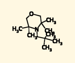 CC(C)(C)CN1C(C)(C)COCC1(C)C